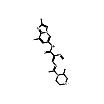 C=N/C(=C\N=C(/C)N1CCNCC1C)C(=O)Nc1cc(F)c2nc(C)cn2c1